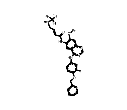 [2H]C([2H])([2H])N(C)C/C=C/C(=O)Nc1cc2c(Nc3ccc(OCc4ccccn4)c(F)c3)ncnc2cc1OCC